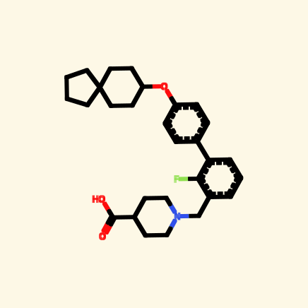 O=C(O)C1CCN(Cc2cccc(-c3ccc(OC4CCC5(CCCC5)CC4)cc3)c2F)CC1